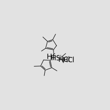 CC1=C(C)C(C)=[C]([Hf]([C]2=C(C)C(C)=C(C)C2)[SiH](C)C)C1.Cl.Cl